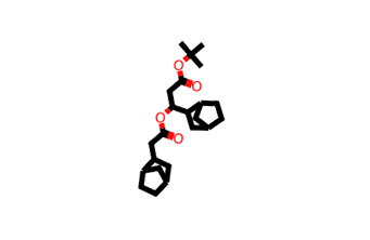 CC(C)(C)OC(=O)CC(OC(=O)CC1CC2CCC1C2)C1CC2CCC1C2